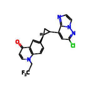 O=c1ccn(CC(F)(F)F)c2ccc([C@H]3CC3c3cc(Cl)nn4ccnc34)cc12